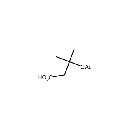 CC(=O)OC(C)(C)CC(=O)O